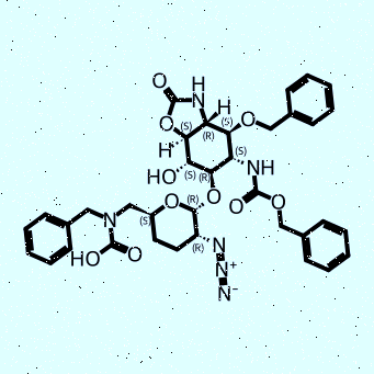 [N-]=[N+]=N[C@@H]1CC[C@@H](CN(Cc2ccccc2)C(=O)O)O[C@@H]1O[C@H]1[C@H](O)[C@H]2OC(=O)N[C@@H]2[C@@H](OCc2ccccc2)[C@@H]1NC(=O)OCc1ccccc1